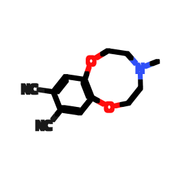 CN1CCOc2cc(C#N)c(C#N)cc2OCC1